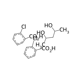 CC(O)CC(C)O.O=C(O)c1ccccc1Cl.O=C(O)c1ccccc1Cl